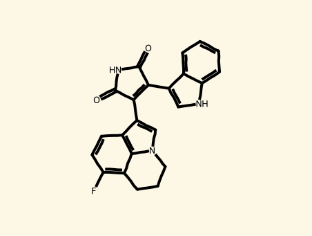 O=C1NC(=O)C(c2cn3c4c(c(F)ccc24)CCC3)=C1c1c[nH]c2ccccc12